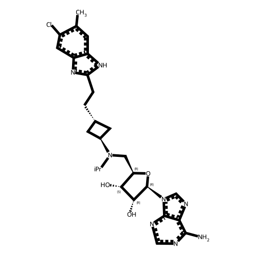 Cc1cc2[nH]c(CC[C@H]3C[C@H](N(C[C@H]4O[C@@H](n5cnc6c(N)ncnc65)[C@H](O)[C@@H]4O)C(C)C)C3)nc2cc1Cl